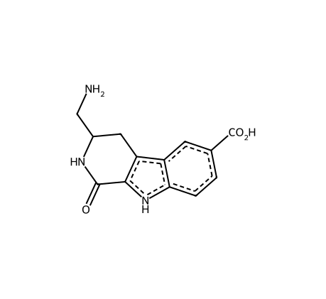 NCC1Cc2c([nH]c3ccc(C(=O)O)cc23)C(=O)N1